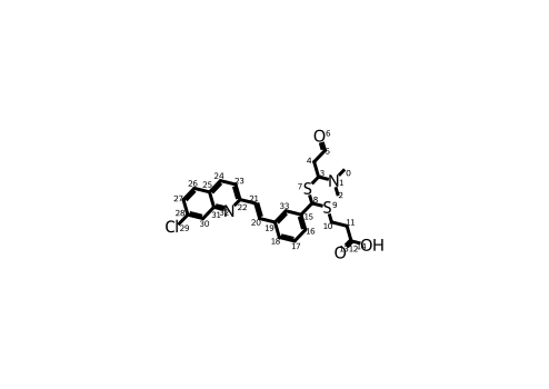 CN(C)C(CC=O)SC(SCCC(=O)O)c1cccc(C=Cc2ccc3ccc(Cl)cc3n2)c1